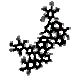 [2H]c1c([2H])c([2H])c(-c2cc(F)c(N(c3ccccc3-c3ccccc3)c3ccc4ccc5c(N(c6ccccc6-c6ccccc6)c6c(F)cc(-c7c([2H])c([2H])c([2H])c([2H])c7[2H])cc6-c6c([2H])c([2H])c([2H])c([2H])c6[2H])ccc6ccc3c4c65)c(-c3c([2H])c([2H])c([2H])c([2H])c3[2H])c2)c([2H])c1[2H]